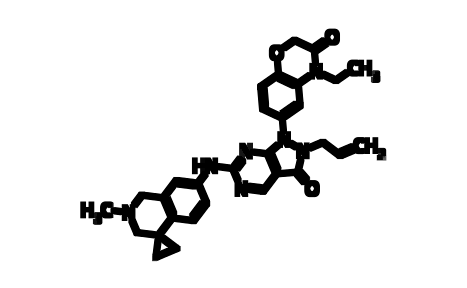 C=CCn1c(=O)c2cnc(Nc3ccc4c(c3)CN(C)CC43CC3)nc2n1-c1ccc2c(c1)N(CC)C(=O)CO2